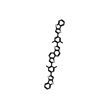 Cc1cc(-c2cc3sc4ccccc4c3s2)cc(C)c1-c1cc2ccc3c(ccc4cc(-c5c(C)cc(-c6cc7sc8ccccc8c7s6)cc5C)sc43)c2s1